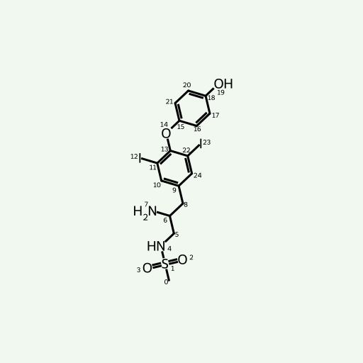 CS(=O)(=O)NCC(N)Cc1cc(I)c(Oc2ccc(O)cc2)c(I)c1